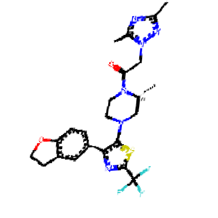 Cc1nc(C)n(CC(=O)N2CCN(c3sc(C(F)(F)F)nc3-c3ccc4c(c3)CCO4)C[C@H]2C)n1